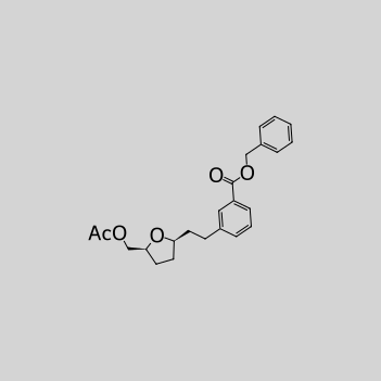 CC(=O)OC[C@@H]1CC[C@H](CCc2cccc(C(=O)OCc3ccccc3)c2)O1